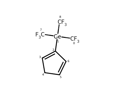 F[C](F)(F)[Ge]([C]1=[C]CC=C1)([C](F)(F)F)[C](F)(F)F